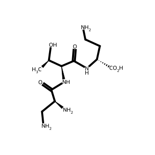 C[C@@H](O)[C@H](NC(=O)[C@@H](N)CN)C(=O)N[C@H](CCN)C(=O)O